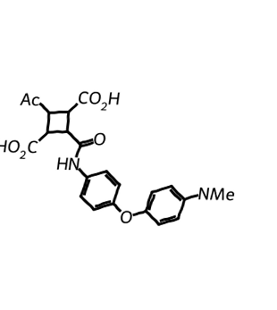 CNc1ccc(Oc2ccc(NC(=O)C3C(C(=O)O)C(C(C)=O)C3C(=O)O)cc2)cc1